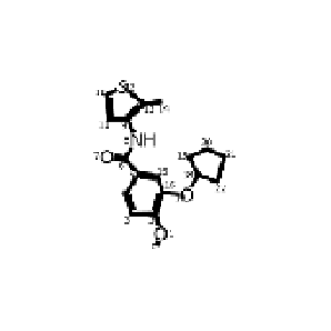 COc1ccc(C(=O)Nc2ccsc2C)cc1OC1CCCC1